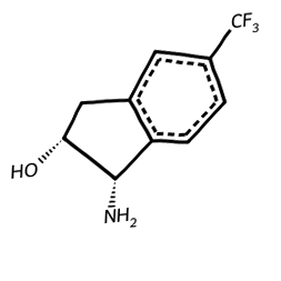 N[C@H]1c2ccc(C(F)(F)F)cc2C[C@H]1O